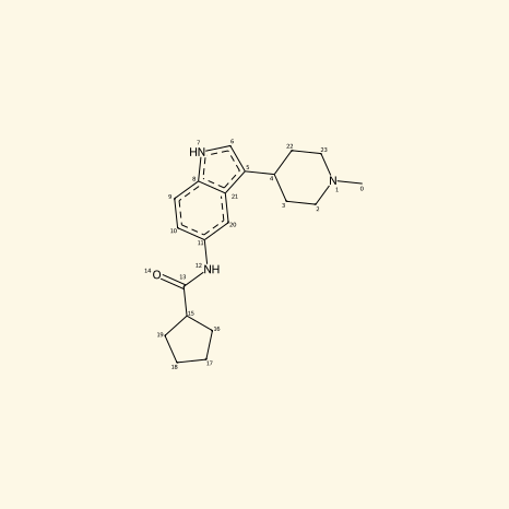 CN1CCC(c2c[nH]c3ccc(NC(=O)C4CCCC4)cc23)CC1